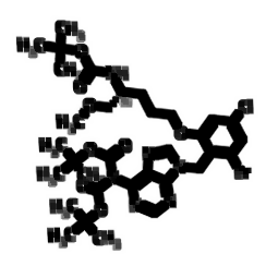 COC[C@@H](CCCOc1cc(Cl)cc(Br)c1Cn1cnc2c(N(C(=O)OC(C)(C)C)C(=O)OC(C)(C)C)ncnc21)NC(=O)OC(C)(C)C